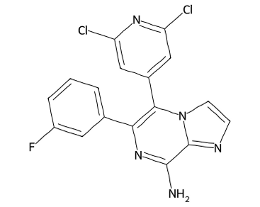 Nc1nc(-c2cccc(F)c2)c(-c2cc(Cl)nc(Cl)c2)n2ccnc12